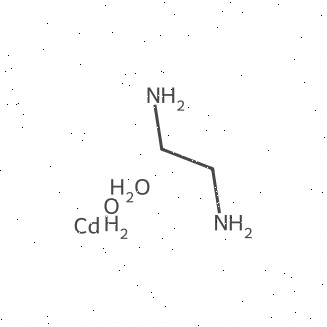 NCCN.O.O.[Cd]